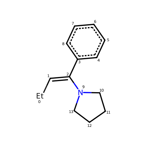 CCC=C(c1ccccc1)N1CCCC1